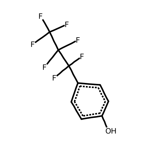 Oc1ccc(C(F)(F)C(F)(F)C(F)(F)F)cc1